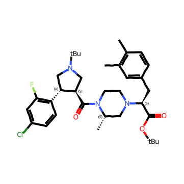 Cc1ccc(C[C@@H](C(=O)OC(C)(C)C)N2CCN(C(=O)[C@@H]3CN(C(C)(C)C)C[C@H]3c3ccc(Cl)cc3F)[C@@H](C)C2)cc1C